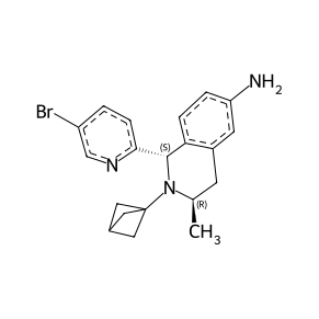 C[C@@H]1Cc2cc(N)ccc2[C@@H](c2ccc(Br)cn2)N1C12CC(C1)C2